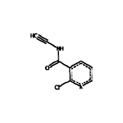 C#CNC(=O)c1cccnc1Cl